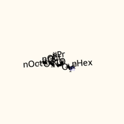 CCCCCC/C=C\COC(=O)CN(CSCCC)CC(=O)OC(CCCCCCCC)CCCCCCCC